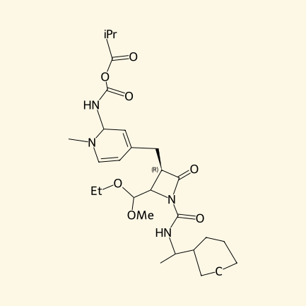 CCOC(OC)C1[C@@H](CC2=CC(NC(=O)OC(=O)C(C)C)N(C)C=C2)C(=O)N1C(=O)NC(C)C1CCCCC1